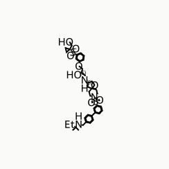 CCC(C)(C)NCc1ccc(-c2cccc(S(=O)(=O)N3CCC4(CC3)C[C@H](NC[C@H](O)COc3cccc(S(=O)(=O)C5(CO)CC5)c3)CO4)c2)cc1